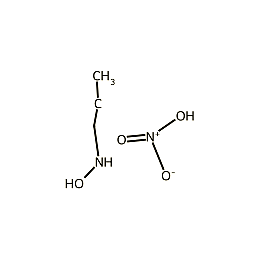 CCCNO.O=[N+]([O-])O